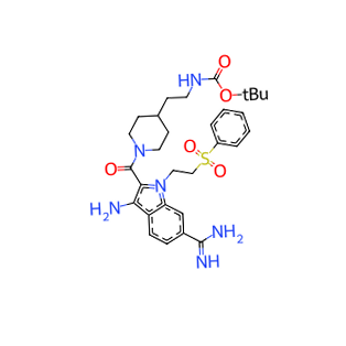 CC(C)(C)OC(=O)NCCC1CCN(C(=O)c2c(N)c3ccc(C(=N)N)cc3n2CCS(=O)(=O)c2ccccc2)CC1